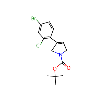 CC(C)(C)OC(=O)N1CC=C(c2ccc(Br)cc2Cl)C1